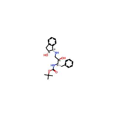 CC(C)(C)OC(=O)N[C@@H](Cc1ccccc1)[C@H](O)CN[C@H]1c2ccccc2C[C@H]1O